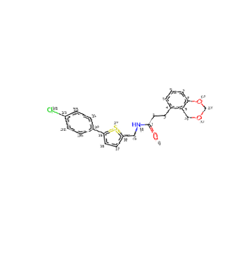 O=C(CCc1cccc2c1COCO2)NCc1ccc(-c2ccc(Cl)cc2)s1